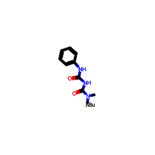 CCCCN(C)C(=O)NC(=O)Nc1ccccc1